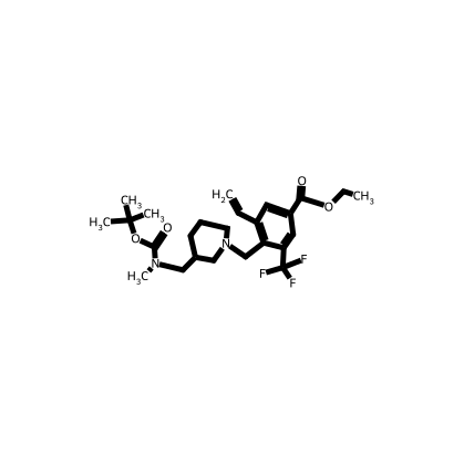 C=Cc1cc(C(=O)OCC)cc(C(F)(F)F)c1CN1CCCC(CN(C)C(=O)OC(C)(C)C)C1